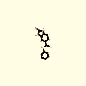 O=C(Oc1ccccc1)c1ccc2[nH]c(S)nc2c1